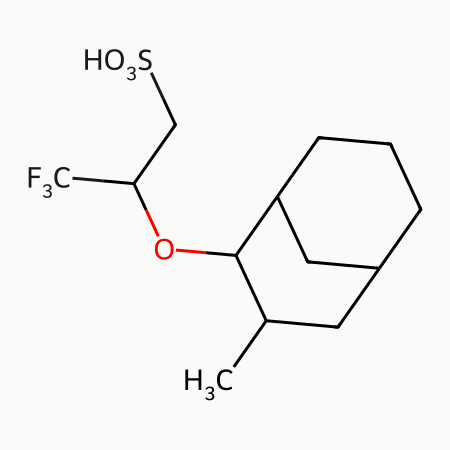 CC1CC2CCCC(C2)C1OC(CS(=O)(=O)O)C(F)(F)F